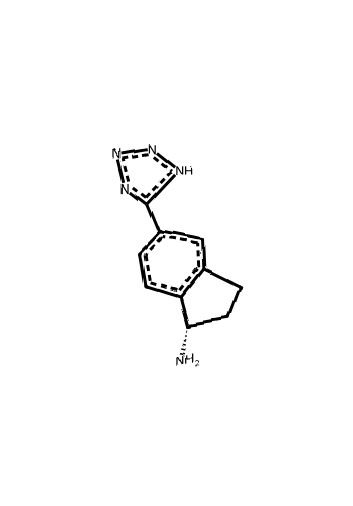 N[C@H]1CCc2cc(-c3nnn[nH]3)ccc21